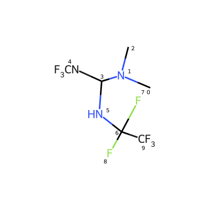 CN(C)C(NC(F)(F)F)NC(F)(F)C(F)(F)F